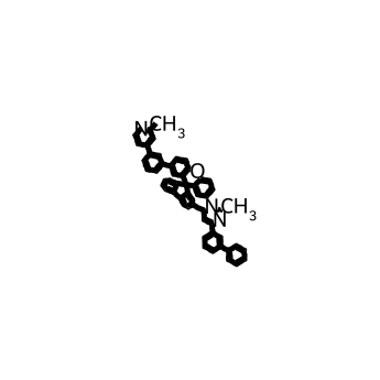 Cc1cc(-c2cccc(-c3ccc4c(c3)C3(c5ccccc5O4)c4ccccc4-c4ccc(-c5cc(-c6cccc(-c7ccccc7)c6)nc(C)n5)cc43)c2)ccn1